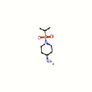 CC(C)S(=O)(=O)N1CCC(N)CC1